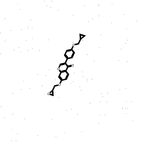 O=c1c(-c2ccc(OCC3CC3)cc2)coc2cc(OCC3CO3)ccc12